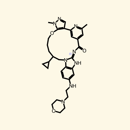 Cc1cc2cc(n1)-c1cnn(C)c1OCCCC(C1CC1)CN1/C(=N/C2=O)Nc2cc(NCCN3CCOCC3)ccc21